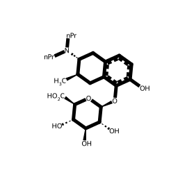 CCCN(CCC)[C@@H]1Cc2ccc(O)c(O[C@@H]3O[C@H](C(=O)O)[C@@H](O)[C@H](O)[C@H]3O)c2C[C@H]1C